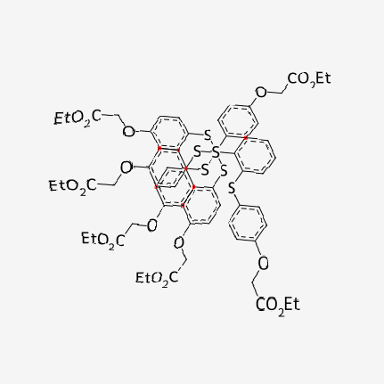 CCOC(=O)COc1ccc(Sc2ccccc2S(Sc2ccc(OCC(=O)OCC)cc2)(Sc2ccc(OCC(=O)OCC)cc2)(Sc2ccc(OCC(=O)OCC)cc2)(Sc2ccc(OCC(=O)OCC)cc2)c2ccc(OCC(=O)OCC)cc2)cc1